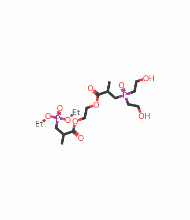 CCOP(=O)(CC(C)C(=O)OCCOC(=O)C(C)CP(=O)(CCO)CCO)OCC